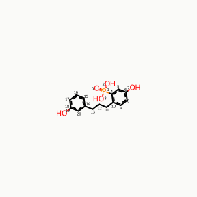 O=P(O)(O)c1cc(O)ccc1CCCc1cccc(O)c1